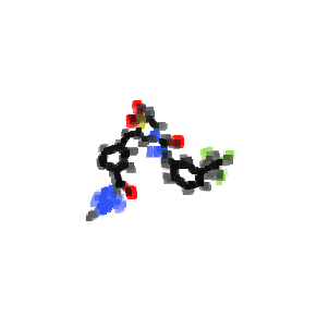 NNC(=O)c1ccc(CC2CN(C(=O)Nc3cccc(C(F)(F)F)c3)CCS2(=O)=O)cc1